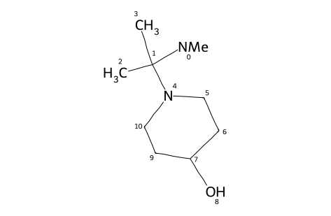 CNC(C)(C)N1CCC(O)CC1